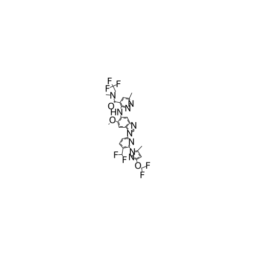 COc1cc2c(cc1Nc1nnc(C)cc1C(=O)N(C)CC(F)(F)F)ncn2-c1ccc(C(F)F)c(-n2nc(OC(F)F)cc2C)n1